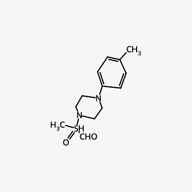 Cc1ccc(N2CCN([SH](C)(=O)C=O)CC2)cc1